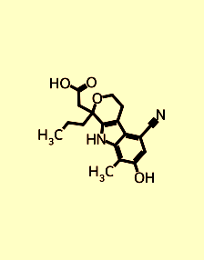 CCCC1(CC(=O)O)OCCc2c1[nH]c1c(C)c(O)cc(C#N)c21